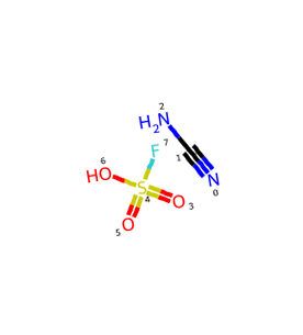 N#CN.O=S(=O)(O)F